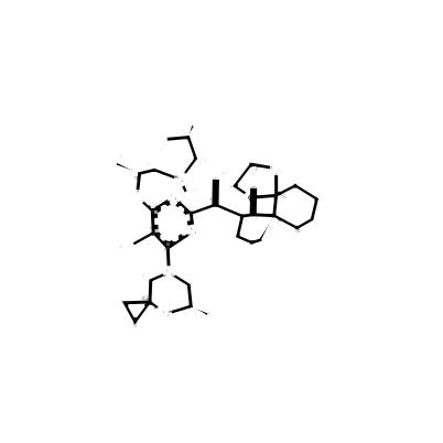 C[C@@H]1CN(c2nc(C(=O)C3CCC[C@@]4(CCCCC45OCCO5)C3=O)nc(O[C@@H](C)[C@@H]3C[C@@H](F)CN3C)c2F)CC2(CC2)N1